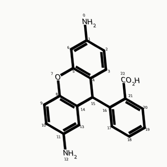 Nc1ccc2c(c1)Oc1ccc(N)cc1C2c1ccccc1C(=O)O